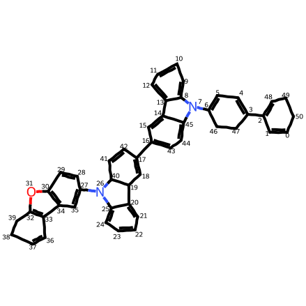 C1=CC(C2=CC=C(n3c4ccccc4c4cc(C5=CC6c7ccccc7N(c7ccc8oc9c(c8c7)C=CCC9)C6C=C5)ccc43)CC2)=CCC1